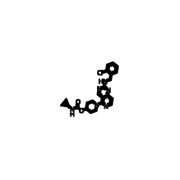 O=C(NC1CC1)OC1CCN(c2nccc3nc(NCc4ccccc4Cl)ncc23)CC1